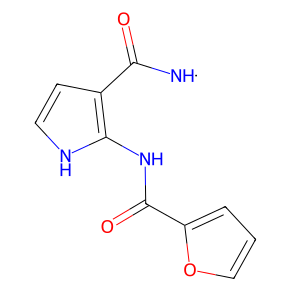 [NH]C(=O)c1cc[nH]c1NC(=O)c1ccco1